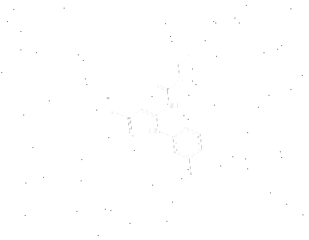 CC(C)(C)C(=N)/C=C(/NC(=O)OCC(Cl)(Cl)Cl)Nc1cccc(CO)c1